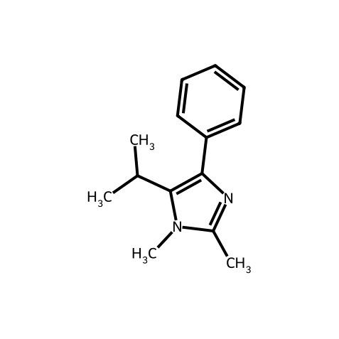 Cc1nc(-c2ccccc2)c(C(C)C)n1C